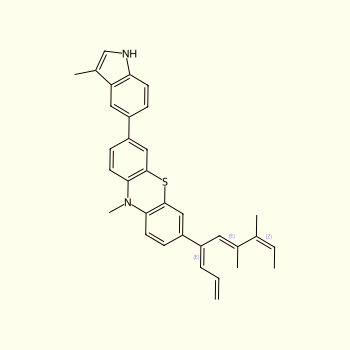 C=C\C=C(/C=C(C)/C(C)=C\C)c1ccc2c(c1)Sc1cc(-c3ccc4[nH]cc(C)c4c3)ccc1N2C